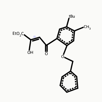 CCOC(=O)/C(O)=C/C(=O)c1cc(C(C)(C)C)c(C)cc1OCc1ccccc1